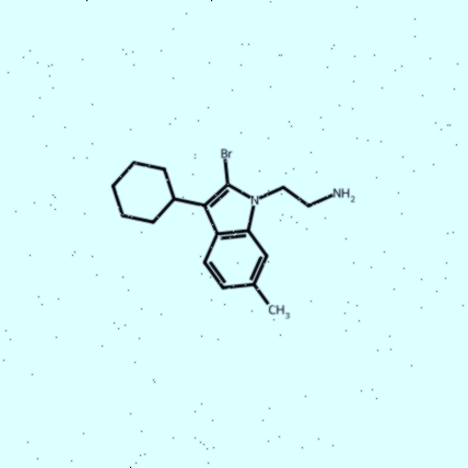 Cc1ccc2c(C3CCCCC3)c(Br)n(CCN)c2c1